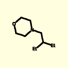 CCC(CC)CN1CCOCC1